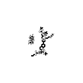 C=CCOC(=O)NOC(C)(C(=O)OC(C)(C)C)[C@H]1CCc2cc(-c3cn(CC(CNC(=O)OC(C)(C)C)O[Si](C)(C)C(C)(C)C)[n+](CCCN=[N+]=[N-])c3)ccc2O1.O=S(=O)(OS(=O)(=O)C(F)(F)F)C(F)(F)F